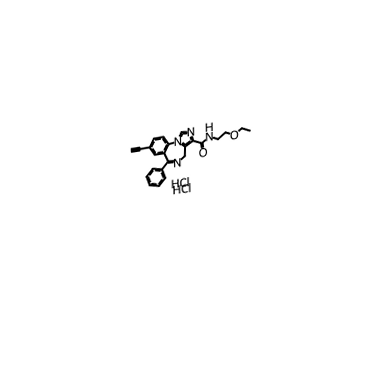 C#Cc1ccc2c(c1)C(c1ccccc1)=NCc1c(C(=O)NCCOCC)ncn1-2.Cl.Cl